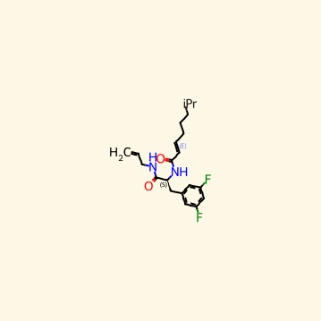 C=CCNC(=O)[C@H](Cc1cc(F)cc(F)c1)NC(=O)/C=C/CCCC(C)C